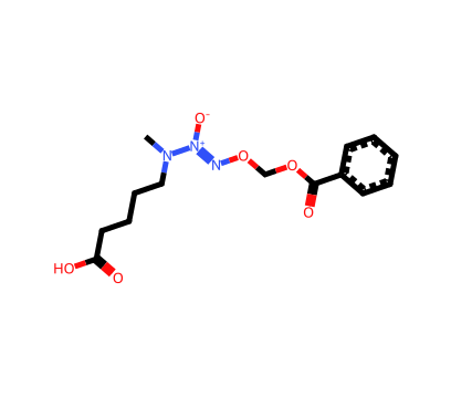 CN(CCCCC(=O)O)[N+]([O-])=NOCOC(=O)c1ccccc1